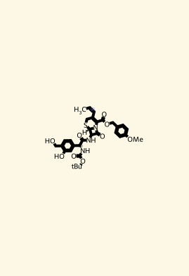 C/C=C\C1=C(C(=O)OCc2ccc(OC)cc2)N2C(=O)C(NC(=O)[C@H](NC(=O)OC(C)(C)C)c3ccc(CO)c(O)c3)[C@H]2SC1